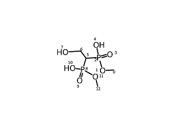 COP(=O)(O)C(CO)P(=O)(O)OC